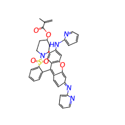 C=C(C)C(=O)OC1CCN(S(=O)(=O)c2ccccc2-c2c3cc/c(=N\c4ccccn4)cc-3oc3cc(Nc4ccccn4)ccc23)CC1